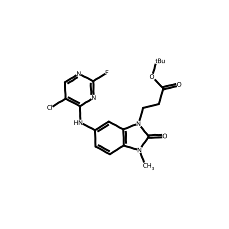 Cn1c(=O)n(CCC(=O)OC(C)(C)C)c2cc(Nc3nc(F)ncc3Cl)ccc21